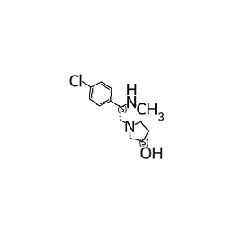 CN[C@H](CN1CC[C@H](O)C1)c1ccc(Cl)cc1